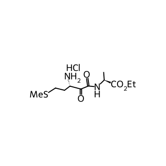 CCOC(=O)[C@H](C)NC(=O)C(=O)[C@@H](N)CCSC.Cl